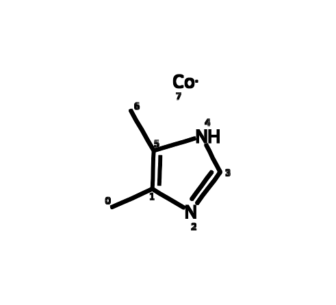 Cc1nc[nH]c1C.[Co]